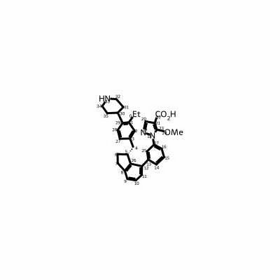 CCc1cc(C[C@H]2CCc3cccc(-c4cccc(-n5ncc(C(=O)O)c5OC)c4)c32)ccc1C1CCNCC1